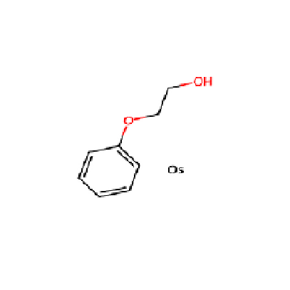 OCCOc1ccccc1.[Os]